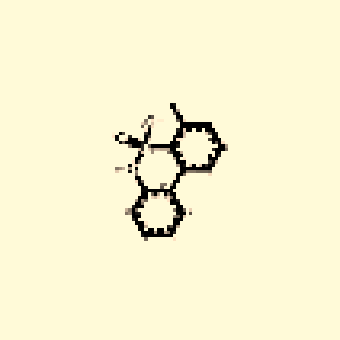 Cc1cccc2c1P(=O)(O)Oc1ccccc1-2